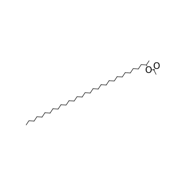 CCCCCCCCCCCCCCCCCCCCCCCCCCCCCCC(C)OC(C)=O